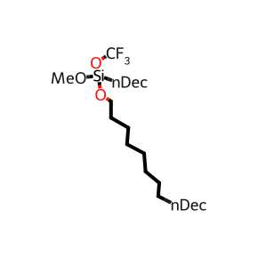 CCCCCCCCCCCCCCCCCCO[Si](CCCCCCCCCC)(OC)OC(F)(F)F